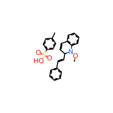 CON1c2ccccc2C=CC1C=Cc1ccccc1.Cc1ccc(S(=O)(=O)O)cc1